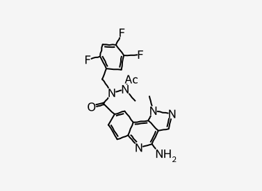 CC(=O)N(C)N(Cc1cc(F)c(F)cc1F)C(=O)c1ccc2nc(N)c3cnn(C)c3c2c1